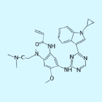 C=CC(=O)Nc1cc(Nc2ncnc(-c3cn(C4CC4)c4ccccc34)n2)c(OC)cc1N(C)CCN(C)C